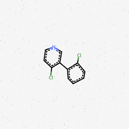 Clc1ccccc1-c1cnccc1Cl